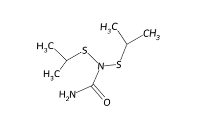 CC(C)SN(SC(C)C)C(N)=O